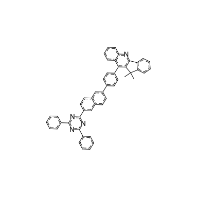 CC1(C)c2ccccc2-c2nc3ccccc3c(-c3ccc(-c4ccc5cc(-c6nc(-c7ccccc7)nc(-c7ccccc7)n6)ccc5c4)cc3)c21